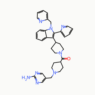 Nc1ncc(CN2CCC(C(=O)N3CCC(c4c(-c5ccccn5)n(Cc5ccccn5)c5ccccc45)CC3)CC2)cn1